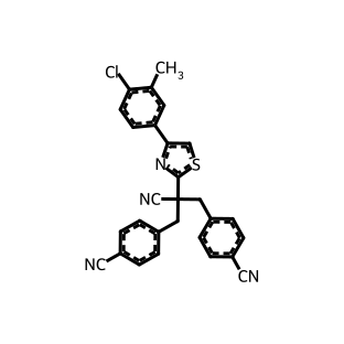 Cc1cc(-c2csc(C(C#N)(Cc3ccc(C#N)cc3)Cc3ccc(C#N)cc3)n2)ccc1Cl